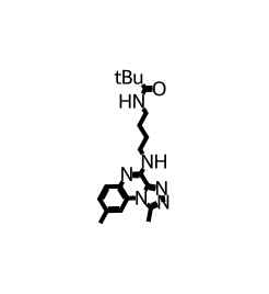 Cc1ccc2nc(NCCCCNC(=O)C(C)(C)C)c3nnc(C)n3c2c1